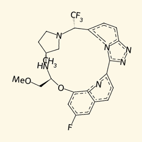 COC[C@H]1N[C@@]2(C)CCN(C2)[C@H](C(F)(F)F)c2ccc3nnc(n3c2)-c2ccc3cc(F)cc(c3n2)O1